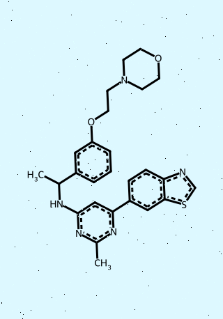 Cc1nc(NC(C)c2cccc(OCCN3CCOCC3)c2)cc(-c2ccc3ncsc3c2)n1